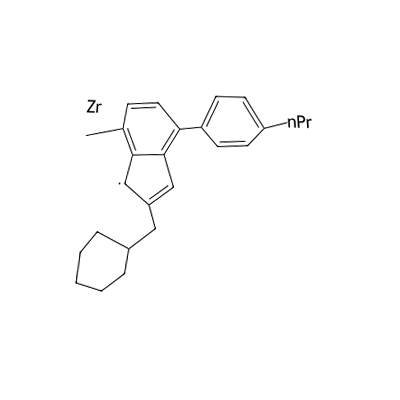 CCCc1ccc(-c2ccc(C)c3c2C=C(CC2CCCCC2)[CH]3)cc1.[Zr]